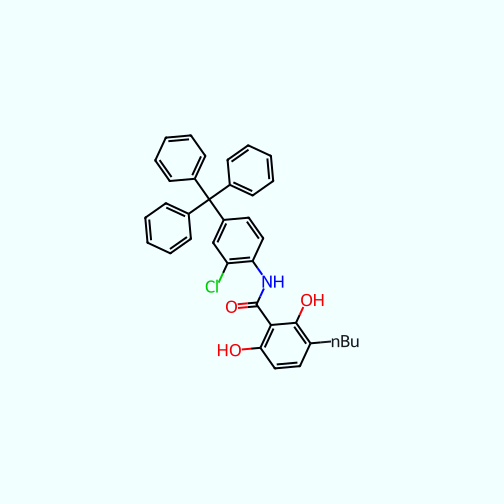 CCCCc1ccc(O)c(C(=O)Nc2ccc(C(c3ccccc3)(c3ccccc3)c3ccccc3)cc2Cl)c1O